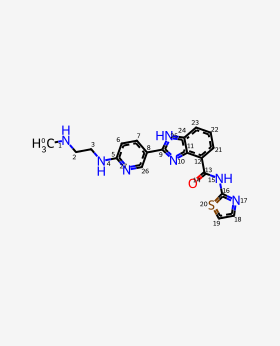 CNCCNc1ccc(-c2nc3c(C(=O)Nc4nccs4)cccc3[nH]2)cn1